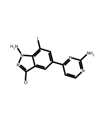 Nc1nccc(-c2cc(I)c3c(c2)c(Cl)nn3N)n1